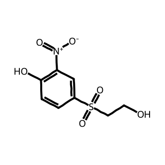 O=[N+]([O-])c1cc(S(=O)(=O)CCO)ccc1O